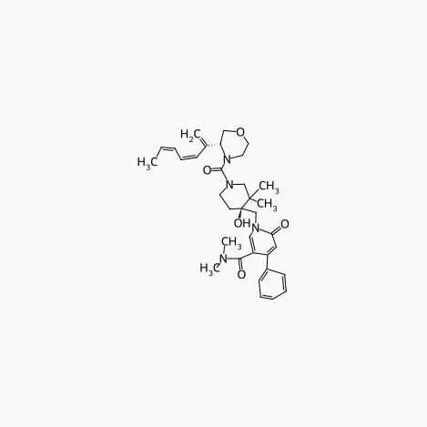 C=C(/C=C\C=C/C)[C@@H]1COCCN1C(=O)N1CC[C@@](O)(Cn2cc(C(=O)N(C)C)c(-c3ccccc3)cc2=O)C(C)(C)C1